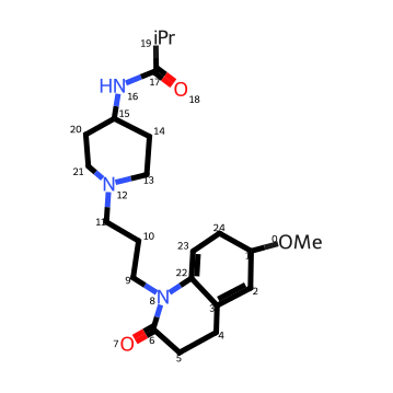 COC1C=C2CCC(=O)N(CCCN3CCC(NC(=O)C(C)C)CC3)C2=CC1